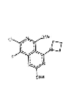 COc1nc(Cl)c(F)c2nc(SC)nc(N3CCC3)c12